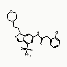 NS(=O)(=O)c1cc(NC(=O)Cc2ccccc2Cl)cc2c1cnn2CCN1CCOCC1